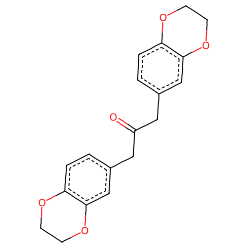 O=C(Cc1ccc2c(c1)OCCO2)Cc1ccc2c(c1)OCCO2